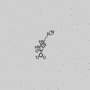 COc1cc(OC)cc(N2Cc3cnc(NCCCCN4CCN(C)CC4)nc3NC2=O)c1